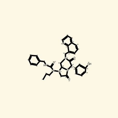 CCCN(C(=O)NCc1ccccc1)N1CC(=O)N2C1CN(Cc1cccc3cccnc13)C(=O)[C@@H]2c1cccc(O)c1